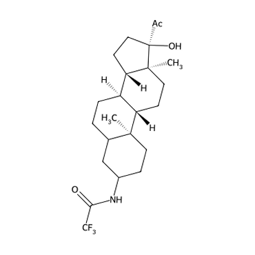 CC(=O)[C@@]1(O)CC[C@H]2[C@@H]3CCC4CC(NC(=O)C(F)(F)F)CC[C@]4(C)[C@H]3CC[C@@]21C